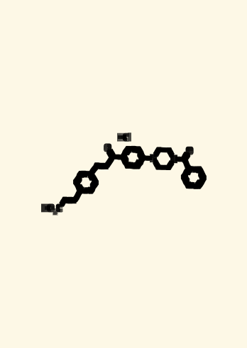 Cl.O=C(O)C=Cc1ccc(C=CC(=O)c2ccc(N3CCN(C(=O)c4ccccc4)CC3)cc2)cc1